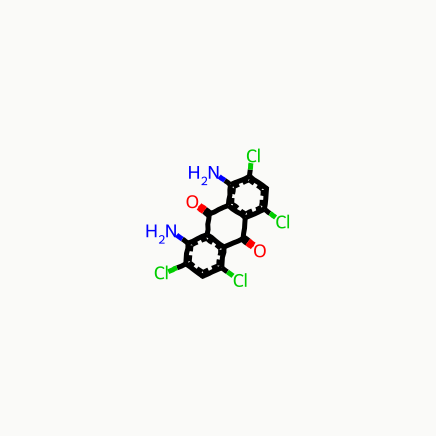 Nc1c(Cl)cc(Cl)c2c1C(=O)c1c(N)c(Cl)cc(Cl)c1C2=O